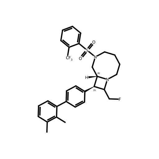 Cc1cccc(-c2ccc([C@@H]3C(CF)N4CCCCN(S(=O)(=O)c5ccccc5C(F)(F)F)C[C@@H]34)cc2)c1C